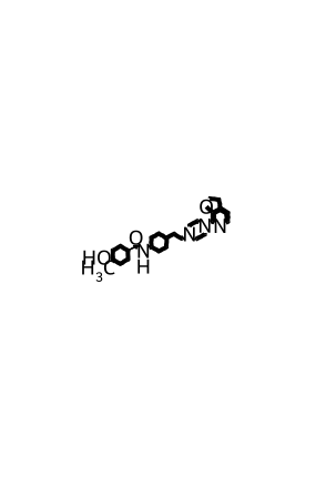 C[C@]1(O)CC[C@@H](C(=O)NC2CCC(CCN3CCN(c4nccc5c4OCC5)CC3)CC2)CC1